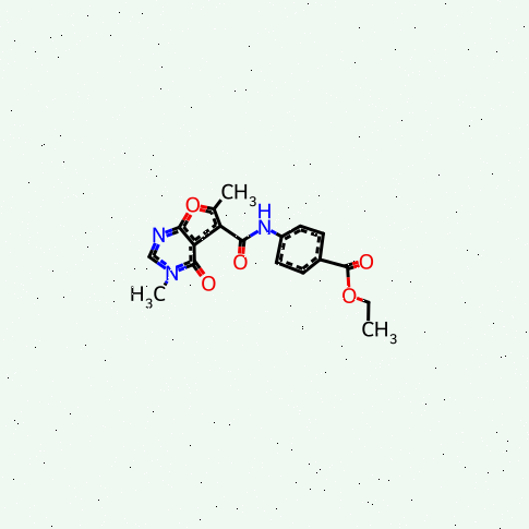 CCOC(=O)c1ccc(NC(=O)c2c(C)oc3ncn(C)c(=O)c23)cc1